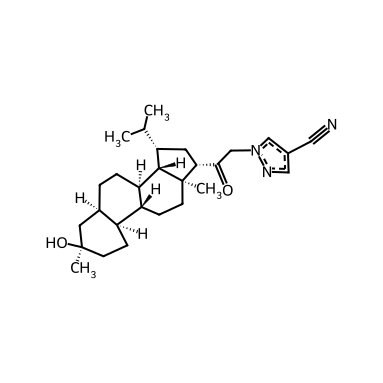 CC(C)[C@@H]1C[C@H](C(=O)Cn2cc(C#N)cn2)[C@@]2(C)CC[C@H]3[C@@H](CC[C@@H]4C[C@](C)(O)CC[C@@H]43)[C@H]12